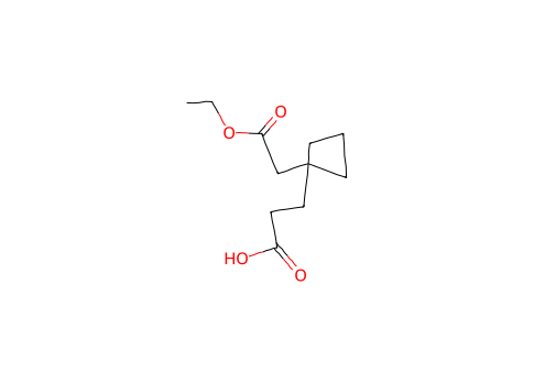 CCOC(=O)CC1(CCC(=O)O)CCC1